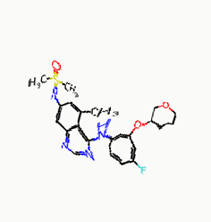 Cc1cc(N=S(C)(C)=O)cc2ncnc(Nc3ccc(F)cc3O[C@@H]3CCCOC3)c12